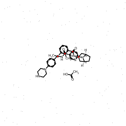 CC(=O)O.COc1cccc(C(=O)N[C@H]2C[C@H]3CC[C@@H](C2)N3c2ccc(C(=O)NCc3ccc(N4CCNCC4)cc3)cn2)c1C